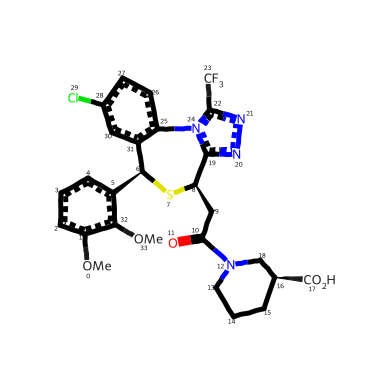 COc1cccc([C@@H]2S[C@H](CC(=O)N3CCC[C@H](C(=O)O)C3)c3nnc(C(F)(F)F)n3-c3ccc(Cl)cc32)c1OC